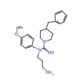 CCCOc1ccc(N(CCCN)C(=N)N2CCC(Cc3ccccc3)CC2)cc1